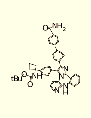 CC(C)(C)OC(=O)NC1(c2ccc(-c3c(-c4ccc(-c5ccc(C(N)=O)cc5)cc4)nc4n3-c3cccnc3Nc3ccccc3-4)cc2)CCC1